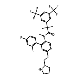 Cc1cc(F)ccc1-c1cc(OCC2CCCN2)ncc1N(C)C(=O)C(C)(C)c1cc(C(F)(F)F)cc(C(F)(F)F)c1